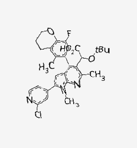 Cc1nc2c(cc(-c3ccnc(Cl)c3)n2C)c(-c2cc(F)c3c(c2C)CCCO3)c1C(OC(C)(C)C)C(=O)O